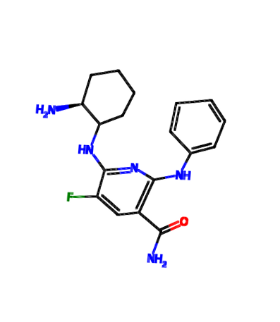 NC(=O)c1cc(F)c(NC2CCCC[C@@H]2N)nc1Nc1ccccc1